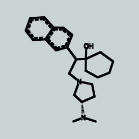 CN(C)[C@H]1CCN(CC(c2ccc3ccccc3c2)C2(O)CCCCC2)C1